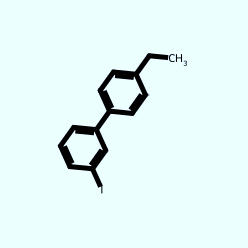 CCc1[c]cc(-c2cccc(I)c2)cc1